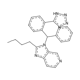 CCCCc1nc2ccncc2n1C(c1ccccc1)c1ccccc1-c1nnn[nH]1